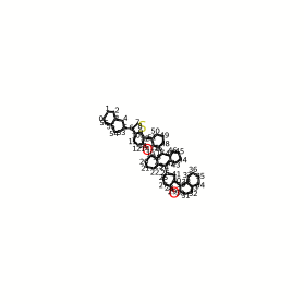 c1ccc2cc(-c3csc4c3ccc3oc5c(-c6c7ccccc7c(-c7ccc8oc9ccc%10ccccc%10c9c8c7)c7ccccc67)cccc5c34)ccc2c1